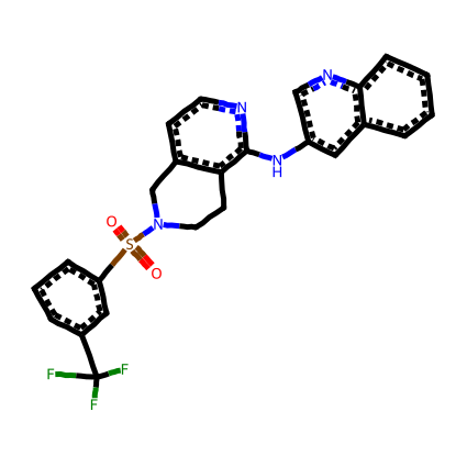 O=S(=O)(c1cccc(C(F)(F)F)c1)N1CCc2c(ccnc2Nc2cnc3ccccc3c2)C1